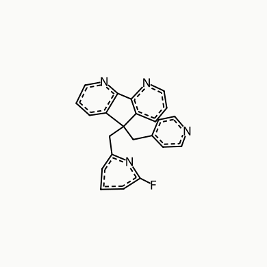 Fc1cccc(CC2(Cc3ccncc3)c3cccnc3-c3ncccc32)n1